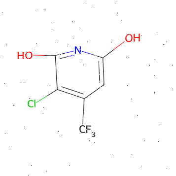 Oc1cc(C(F)(F)F)c(Cl)c(O)n1